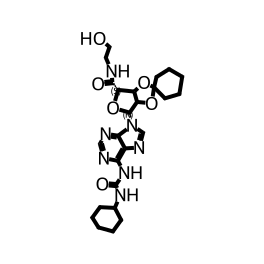 O=C(Nc1ncnc2c1ncn2[C@@H]1O[C@H](C(=O)NCCO)C2OC3(CCCCC3)OC21)NC1CCCCC1